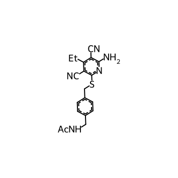 CCc1c(C#N)c(N)nc(SCc2ccc(CNC(C)=O)cc2)c1C#N